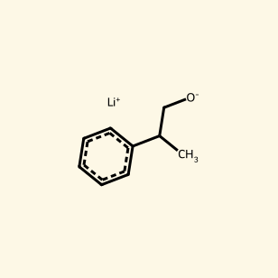 CC(C[O-])c1ccccc1.[Li+]